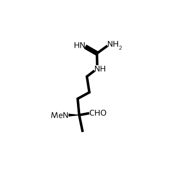 CN[C@](C)(C=O)CCCNC(=N)N